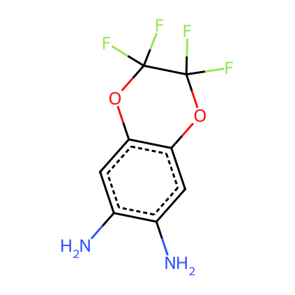 Nc1cc2c(cc1N)OC(F)(F)C(F)(F)O2